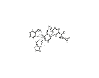 Cc1ccccc1[C@H](Nc1nccn(-c2cc(C(=O)NC3CC3)ccc2C)c1=O)[C@H](C)CN1CCCC1